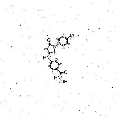 O=C(NO)c1ccc(NC2CC(=O)N(c3ccc(Cl)cc3)C2)cc1